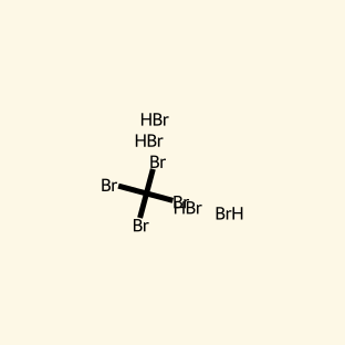 Br.Br.Br.Br.BrC(Br)(Br)Br